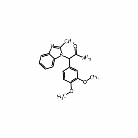 COc1ccc(C(C(N)=O)n2c(C)nc3ccccc32)cc1OC